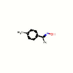 CC(=O)C(=NO)c1ccc(C)cc1